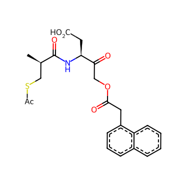 CC(=O)SC[C@@H](C)C(=O)N[C@@H](CC(=O)O)C(=O)COC(=O)Cc1cccc2ccccc12